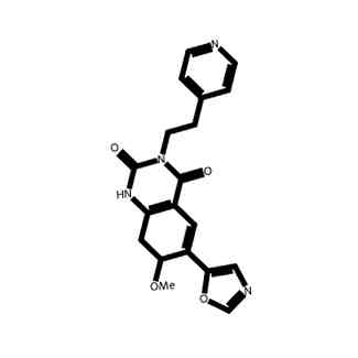 COC1Cc2[nH]c(=O)n(CCc3ccncc3)c(=O)c2C=C1c1cnco1